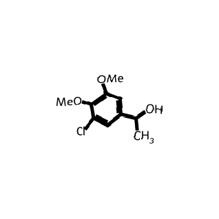 COc1cc(C(C)O)cc(Cl)c1OC